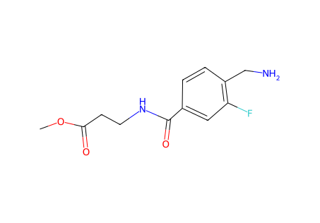 COC(=O)CCNC(=O)c1ccc(CN)c(F)c1